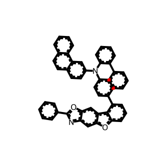 c1ccc(-c2nc3cc4oc5cccc(-c6ccc(N(c7ccc8ccc9ccccc9c8c7)c7ccccc7-c7ccccc7)cc6)c5c4cc3o2)cc1